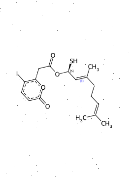 CC(C)=CCC/C(C)=C/[C@H](S)OC(=O)Cc1oc(=O)ccc1I